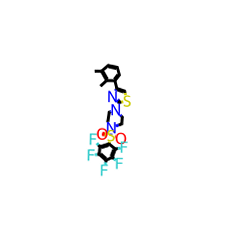 Cc1cccc(-c2csc(N3CCN(S(=O)(=O)c4c(F)c(F)c(F)c(F)c4F)CC3)n2)c1C